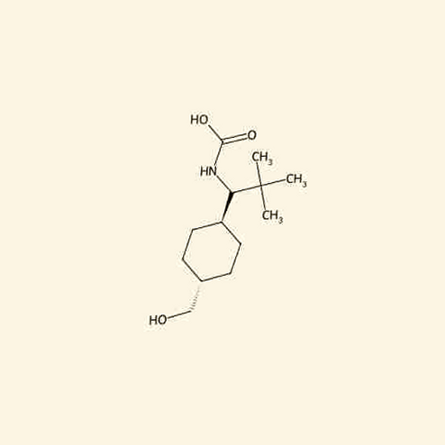 CC(C)(C)C(NC(=O)O)[C@H]1CC[C@H](CO)CC1